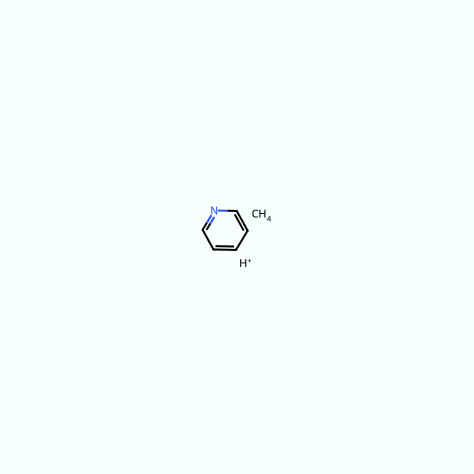 C.[H+].c1ccncc1